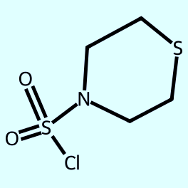 O=S(=O)(Cl)N1CCSCC1